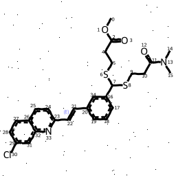 COC(=O)CCSC(SCCC(=O)N(C)C)c1cccc(/C=C/c2ccc3ccc(Cl)cc3n2)c1